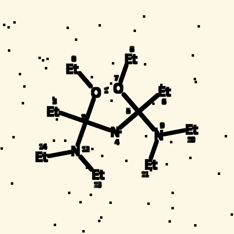 CCOC(CC)([N]C(CC)(OCC)N(CC)CC)N(CC)CC